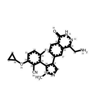 Cn1ncc(-c2ccc3c(=O)[nH]nc(CN)c3c2)c1-c1c(F)ccc(OC2CC2)c1C#N